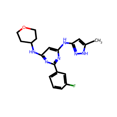 Cc1cc(Nc2cc(NC3CCOCC3)nc(-c3cccc(F)c3)n2)n[nH]1